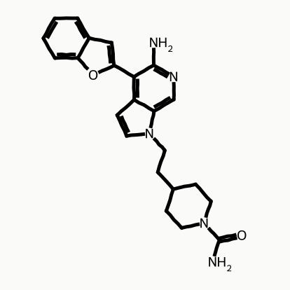 NC(=O)N1CCC(CCn2ccc3c(-c4cc5ccccc5o4)c(N)ncc32)CC1